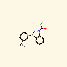 O=C(CCl)N1CC(c2cccc(C(F)(F)F)c2)c2ccccc21